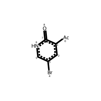 CC(=O)c1cc(Br)c[nH]c1=O